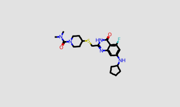 CN(C)C(=O)N1CCC(SCc2nc3cc(NC4CCCC4)cc(F)c3c(=O)[nH]2)CC1